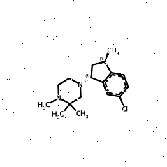 C[C@@H]1C[C@@H](N2CCN(C)C(C)(C)C2)c2cc(Cl)ccc21